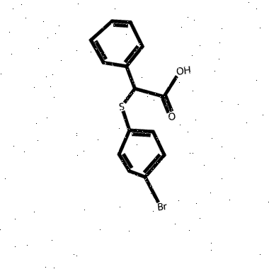 O=C(O)C(Sc1ccc(Br)cc1)c1ccccc1